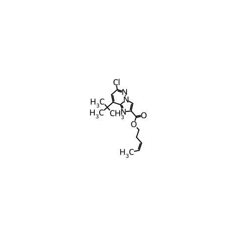 C/C=C\CCOC(=O)c1cn2nc(Cl)cc(C(C)(C)C)c2n1